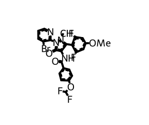 COc1cc(F)c(-c2c(NC(=O)c3ccc(OC(F)F)cc3)c(=O)n(-c3ncccc3Br)n2C)c(F)c1